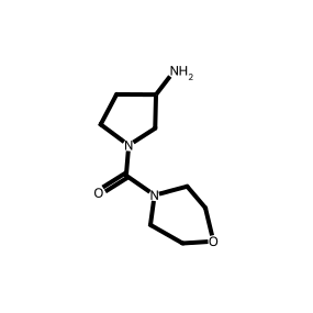 NC1CCN(C(=O)N2CCOCC2)C1